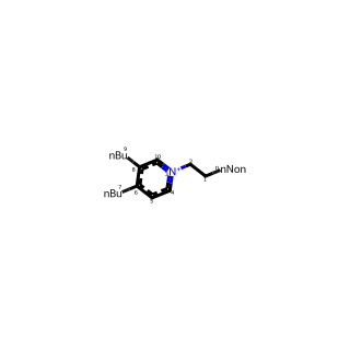 CCCCCCCCCCC[n+]1ccc(CCCC)c(CCCC)c1